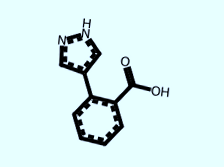 O=C(O)c1ccccc1-c1cn[nH]c1